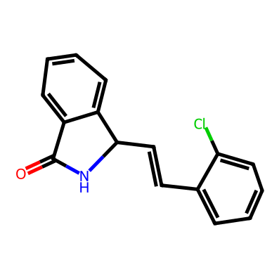 O=C1NC(C=Cc2ccccc2Cl)c2ccccc21